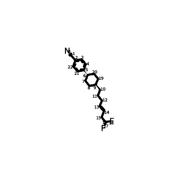 N#Cc1ccc([C@H]2CC[C@H](CCCC=CCC(F)F)CC2)cc1